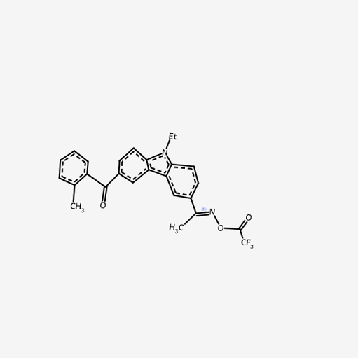 CCn1c2ccc(C(=O)c3ccccc3C)cc2c2cc(/C(C)=N/OC(=O)C(F)(F)F)ccc21